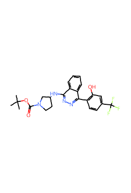 CC(C)(C)OC(=O)N1CC[C@@H](Nc2nnc(-c3ccc(C(F)(F)F)cc3O)c3ccccc23)C1